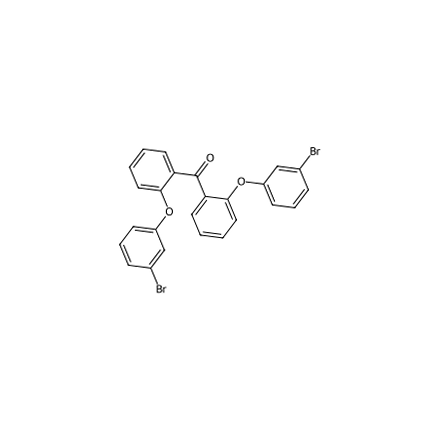 O=C(c1ccccc1Oc1cccc(Br)c1)c1ccccc1Oc1cccc(Br)c1